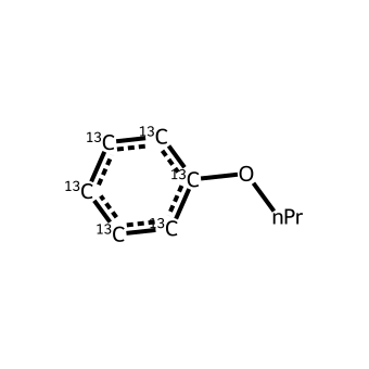 CCCO[13c]1[13cH][13cH][13cH][13cH][13cH]1